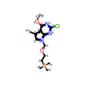 CC(C)Oc1nc(Cl)nc2c1c(I)cn2COCCS(C)(C)C